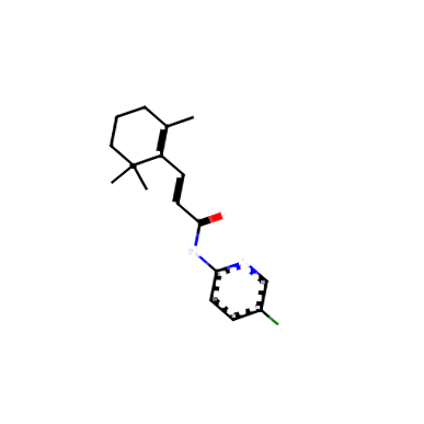 CC1=C(C=CC(=O)Nc2ccc(Cl)cn2)C(C)(C)CCC1